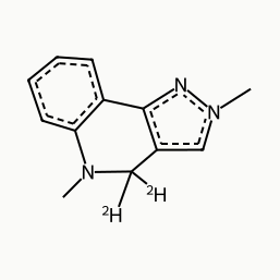 [2H]C1([2H])c2cn(C)nc2-c2ccccc2N1C